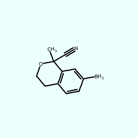 Bc1ccc2c(c1)C(C)(C#N)OCC2